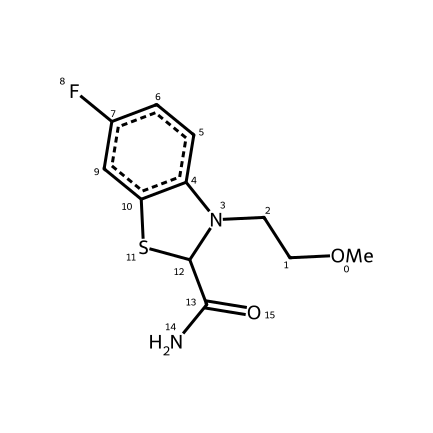 COCCN1c2ccc(F)cc2SC1C(N)=O